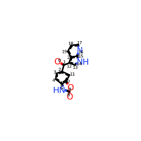 O=C(c1ccc2[nH]c(=O)oc2c1)c1c[nH]c2ncccc12